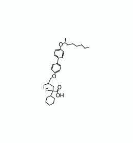 CCCCCC[C@H](C)Oc1ccc(-c2ccc(OCC(CC)C[C@](F)(C(=O)O)C3CCCCC3)cc2)cc1